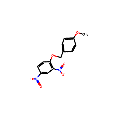 COc1ccc(COc2ccc([N+](=O)[O-])cc2[N+](=O)[O-])cc1